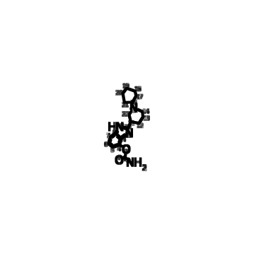 NC(=O)Oc1cccc2[nH]c(C3CCCN(C4CCCCC4)C3)nc12